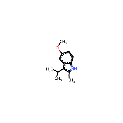 COc1ccc2[nH]c(C)c(C(C)C)c2c1